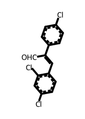 O=CC(=Cc1ccc(Cl)cc1Cl)c1ccc(Cl)cc1